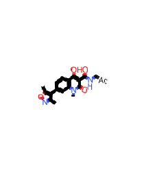 CC(=O)CNC(=O)c1c(O)c2ccc(-c3c(C)noc3C)cc2n(C)c1=O